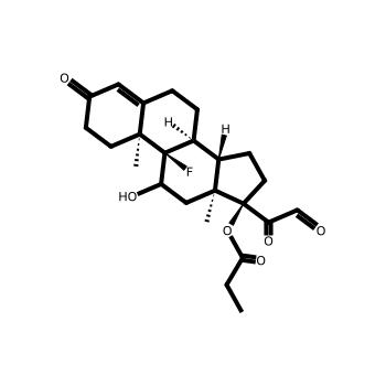 CCC(=O)O[C@]1(C(=O)C=O)CC[C@H]2[C@@H]3CCC4=CC(=O)CC[C@]4(C)[C@@]3(F)C(O)C[C@@]21C